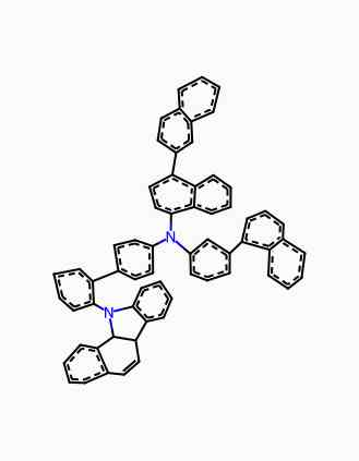 C1=CC2c3ccccc3N(c3ccccc3-c3ccc(N(c4cccc(-c5cccc6ccccc56)c4)c4ccc(-c5ccc6ccccc6c5)c5ccccc45)cc3)C2c2ccccc21